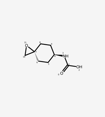 O=C(O)N[C@H]1CC[C@]2(CC1)CO2